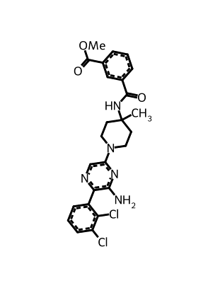 COC(=O)c1cccc(C(=O)NC2(C)CCN(c3cnc(-c4cccc(Cl)c4Cl)c(N)n3)CC2)c1